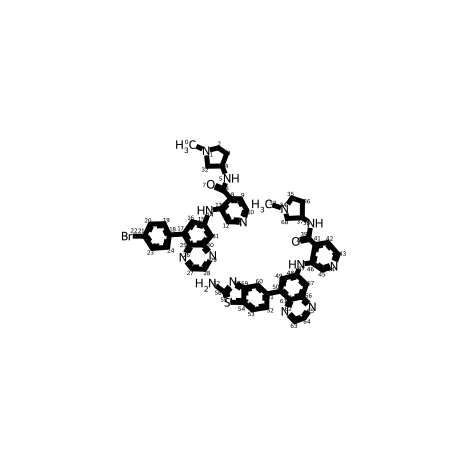 CN1CCC(NC(=O)c2ccncc2Nc2cc(-c3ccc(Br)cc3)c3nccnc3c2)C1.CN1CCC(NC(=O)c2ccncc2Nc2cc(-c3ccc4sc(N)nc4c3)c3nccnc3c2)C1